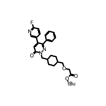 CC(C)(C)OC(=O)COCC1CCC(Cn2nc(-c3ccccc3)c(-c3ccc(F)nc3)cc2=O)CC1